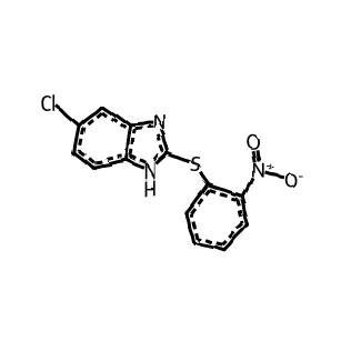 O=[N+]([O-])c1ccccc1Sc1nc2cc(Cl)ccc2[nH]1